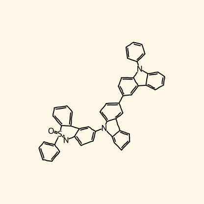 O=S1(c2ccccc2)=Nc2ccc(-n3c4ccccc4c4cc(-c5ccc6c(c5)c5ccccc5n6-c5ccccc5)ccc43)cc2-c2ccccc21